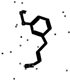 CCCOc1cccc(CC=C[C]=O)c1